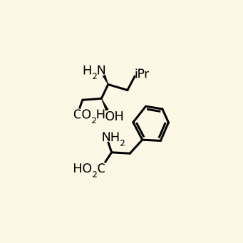 CC(C)C[C@H](N)[C@@H](O)CC(=O)O.NC(Cc1ccccc1)C(=O)O